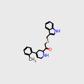 Cc1ccccc1C1=CCNC(C(=O)CSCc2c[nH]c3ccccc23)C1